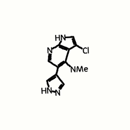 CNc1c(-c2cn[nH]c2)cnc2[nH]cc(Cl)c12